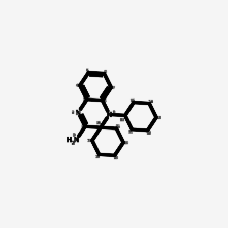 NC1=Nc2ccccc2N(C2CCCCC2)C12CCCCC2